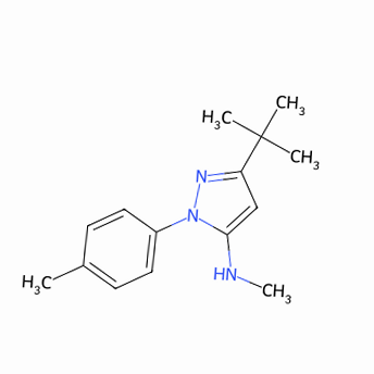 CNc1cc(C(C)(C)C)nn1-c1ccc(C)cc1